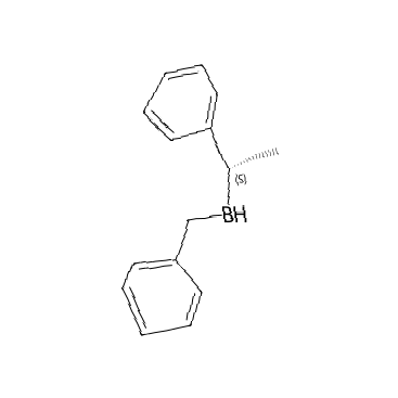 C[C@H](BCc1ccccc1)c1ccccc1